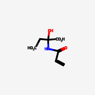 C=CC(=O)NC(O)(CC(=O)O)C(=O)O